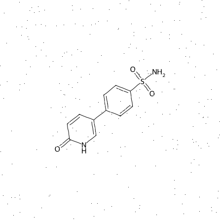 NS(=O)(=O)c1ccc(-c2ccc(=O)[nH]c2)cc1